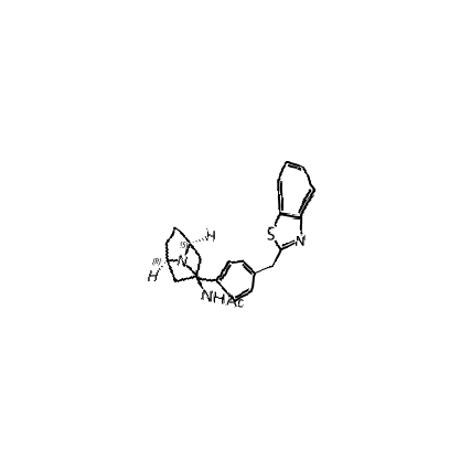 CC(=O)NC1C[C@H]2CC[C@@H](C1)N2Cc1ccc(Cc2nc3ccccc3s2)cc1